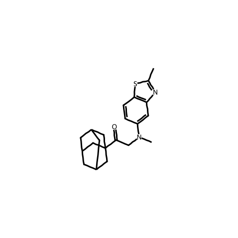 Cc1nc2cc(N(C)CC(=O)C34CC5CC(CC(C5)C3)C4)ccc2s1